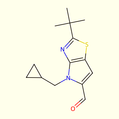 CC(C)(C)c1nc2c(cc(C=O)n2CC2CC2)s1